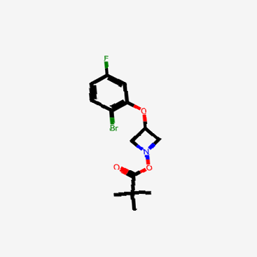 CC(C)(C)C(=O)ON1CC(Oc2cc(F)ccc2Br)C1